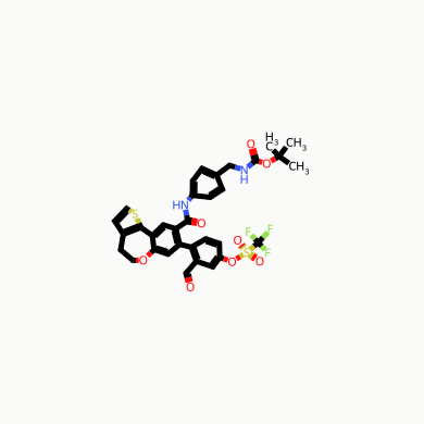 CC(C)(C)OC(=O)NCc1ccc(NC(=O)c2cc3c(cc2-c2ccc(OS(=O)(=O)C(F)(F)F)cc2C=O)OCCc2ccsc2-3)cc1